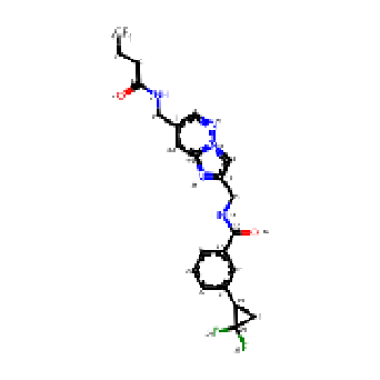 O=C(CCC(F)(F)F)NCc1cnn2cc(CNC(=O)c3cccc(C4CC4(F)F)c3)nc2c1